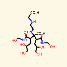 O=C(O)CNCCNC(C(=O)O)(C(CC(O)CO)C(=O)NCO)C(CC(O)CO)C(=O)NCO